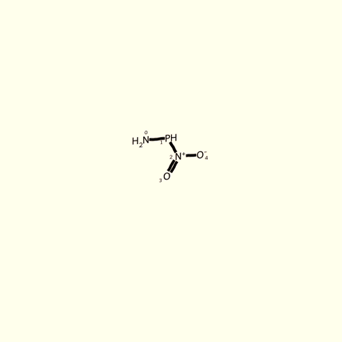 NP[N+](=O)[O-]